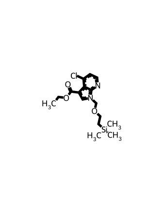 CCOC(=O)c1cn(COCC[Si](C)(C)C)c2nccc(Cl)c12